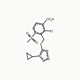 CS(=O)(=O)c1ccc(C(=O)O)c(Cl)c1CSc1nnnn1C1CC1